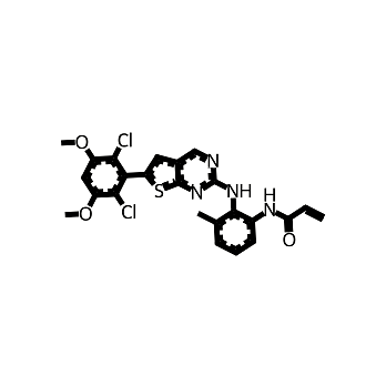 C=CC(=O)Nc1cccc(C)c1Nc1ncc2cc(-c3c(Cl)c(OC)cc(OC)c3Cl)sc2n1